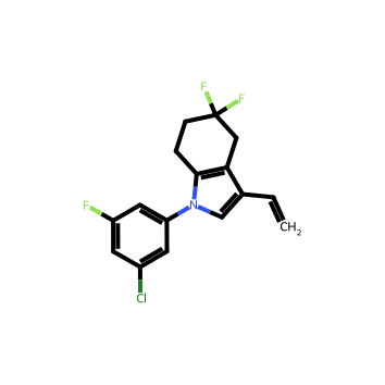 C=Cc1cn(-c2cc(F)cc(Cl)c2)c2c1CC(F)(F)CC2